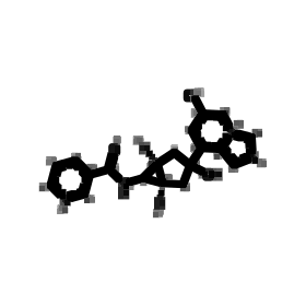 O=C(NC1[C@H]2CC(O)(c3cc(Cl)cn4cncc34)C[C@@H]12)c1cccnc1